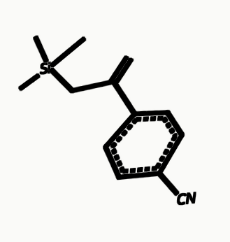 C=C(C[Si](C)(C)C)c1ccc(C#N)cc1